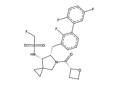 O=C([C@H]1CCO1)N1CC2(CC2)[C@H](NS(=O)(=O)CF)[C@@H]1Cc1cccc(-c2cc(F)ccc2F)c1F